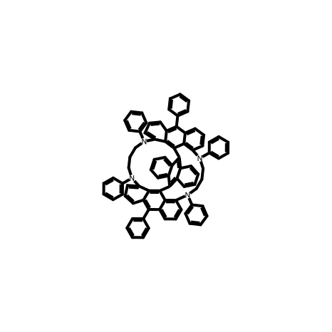 c1ccc(-c2c3cccc4c3c3c5c(cccc25)N(c2ccccc2)CCCN(c2ccccc2)c2cccc5c(-c6ccccc6)c6cccc(c6c(c25)-c2c5ccccc5c-3c3ccccc23)N(c2ccccc2)CCCN4c2ccccc2)cc1